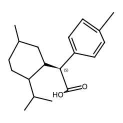 Cc1ccc([C@@H](C(=O)O)C2CC(C)CCC2C(C)C)cc1